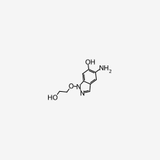 Nc1cc2cnn(OCCO)c2cc1O